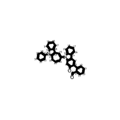 O=c1oc2cc3c(cc2c2ccccc12)c1ccccc1n3C1=Cc2c(n(-c3ccccc3)c3ccccc23)CC=C1